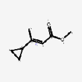 COC(=O)/C=C(\C)C1CC1